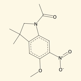 COc1cc2c(cc1[N+](=O)[O-])N(C(C)=O)CC2(C)C